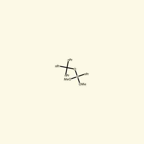 CCCC(CCC)(CCC)O[Si](CCC)(OC)OC